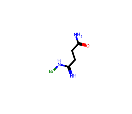 N=C(CCC(N)=O)NBr